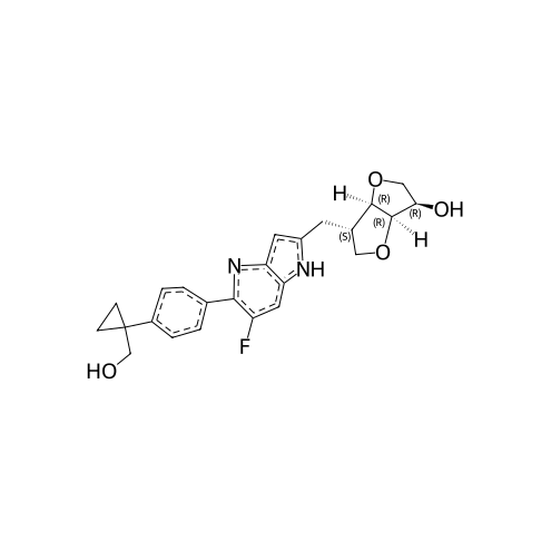 OCC1(c2ccc(-c3nc4cc(C[C@H]5CO[C@H]6[C@@H]5OC[C@H]6O)[nH]c4cc3F)cc2)CC1